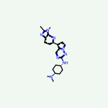 Cc1nc2ccc(-c3ccn4nc(N[C@H]5CC[C@H](N(C)C)CC5)ncc34)nc2n1C